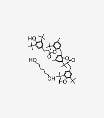 Cc1cc(Cc2cc(C)cc(C(C)(C)C)c2OC(=O)CCc2cc(C(C)(C)C)c(O)c(C(C)(C)C)c2)c(OC(=O)CCc2cc(C(C)(C)C)c(O)c(C(C)(C)C)c2)c(C(C)(C)C)c1.OCCCCCCO